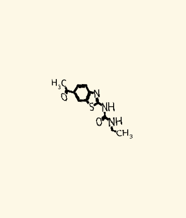 CCNC(=O)Nc1nc2ccc(C(C)=O)cc2s1